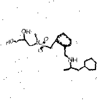 CC(CC1CCCCC1)NCc1ccccc1CS(=O)(=O)N(C)CC(O)CO